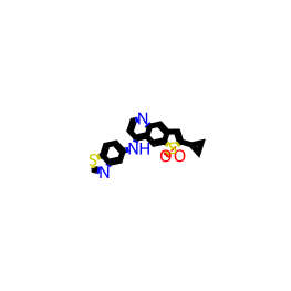 O=S1(=O)C(C2CC2)=Cc2cc3nccc(Nc4ccc5scnc5c4)c3cc21